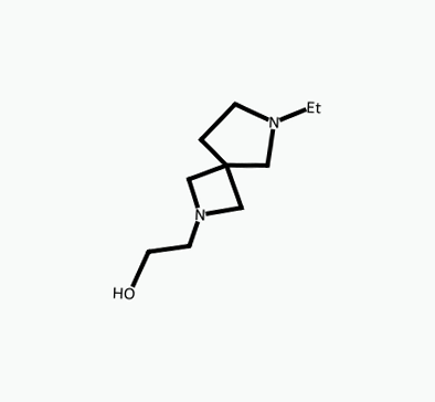 CCN1CCC2(C1)CN(CCO)C2